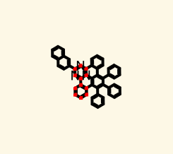 c1ccc(-c2nc(-c3ccc4ccccc4c3)nc(-c3ccccc3-c3c(-c4ccccc4)c(-c4ccccc4)c(-c4ccccc4)c(-c4ccccc4)c3-c3ccccc3)n2)cc1